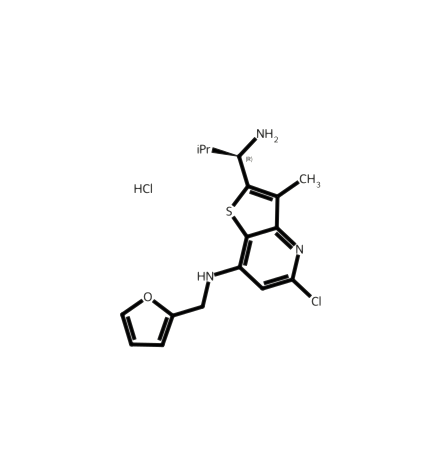 Cc1c([C@H](N)C(C)C)sc2c(NCc3ccco3)cc(Cl)nc12.Cl